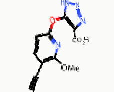 C#Cc1ccc(Oc2[nH]nnc2C(=O)O)nc1OC